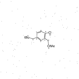 COCc1cc(CC(C)(C)C)ccc1Cl